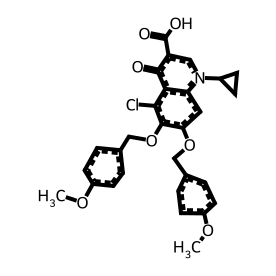 COc1ccc(COc2cc3c(c(Cl)c2OCc2ccc(OC)cc2)c(=O)c(C(=O)O)cn3C2CC2)cc1